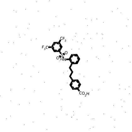 O=C(O)c1ccc(CCCc2ccccc2NS(=O)(=O)c2cc(C(F)(F)F)cc(C(F)(F)F)c2)cc1